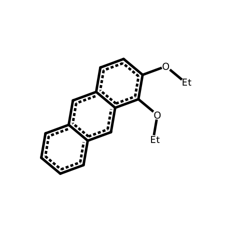 CCOc1ccc2cc3ccccc3cc2c1OCC